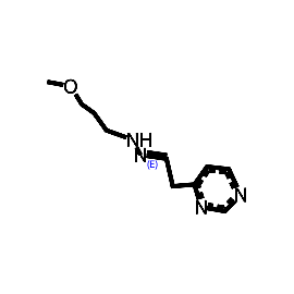 COCCCN/N=C/Cc1ccncn1